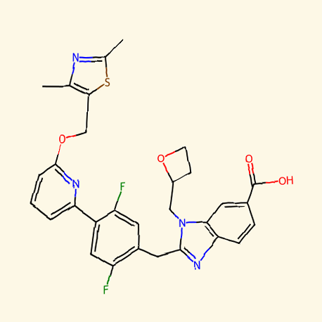 Cc1nc(C)c(COc2cccc(-c3cc(F)c(Cc4nc5ccc(C(=O)O)cc5n4CC4CCO4)cc3F)n2)s1